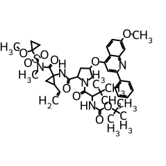 C=CC1CC1(NC(=O)C1CC(Oc2cc(-c3ccccc3)nc3cc(OC)ccc23)CN1C(=O)C(NC(=O)OC(C)(C)C)C(C)(C)C)C(=O)N(C)S(=O)(=O)C1(OC)CC1